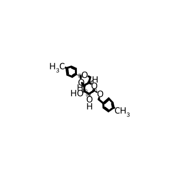 Cc1ccc(CO[C@@H]2O[C@@H]3CO[C@@H](c4ccc(C)cc4)O[C@H]3[C@H](O)[C@H]2O)cc1